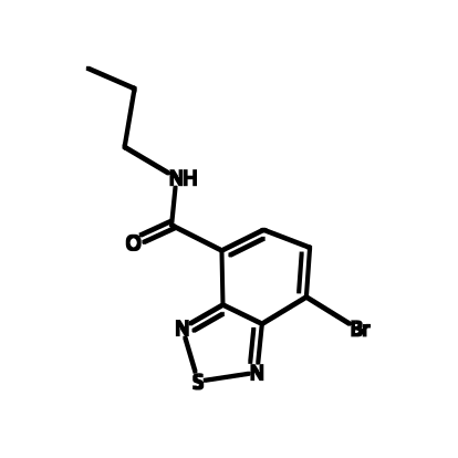 CCCNC(=O)c1ccc(Br)c2nsnc12